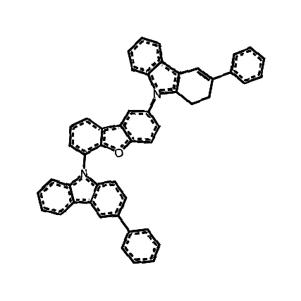 C1=C(c2ccccc2)CCc2c1c1ccccc1n2-c1ccc2oc3c(-n4c5ccccc5c5cc(-c6ccccc6)ccc54)cccc3c2c1